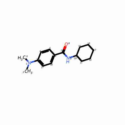 CN(C)c1ccc(C(=O)NC2CCCCC2)cc1